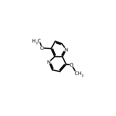 COc1ccnc2c(OC)ccnc12